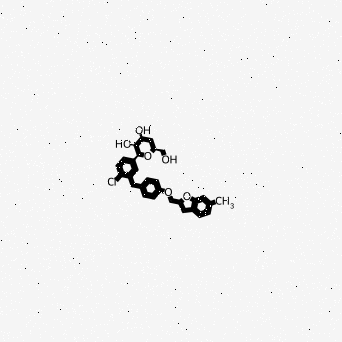 Cc1ccc2c(c1)OC(COc1ccc(Cc3cc([C@@H]4O[C@H](CO)C[C@H](O)[C@H]4O)ccc3Cl)cc1)C2